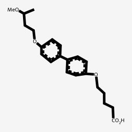 COC(C)CCOc1ccc(-c2ccc(OCCCCC(=O)O)cc2)cc1